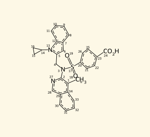 Cc1c(N(Cc2cc3ccccc3n2C2CC2)S(=O)(=O)c2ccc(C(=O)O)cc2)ncc2ccccc12